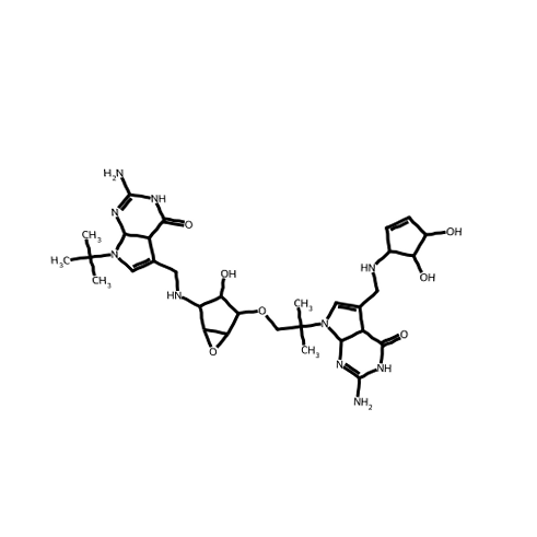 CC(C)(C)N1C=C(CNC2C(O)C(OCC(C)(C)N3C=C(CNC4C=CC(O)C4O)C4C(=O)NC(N)=NC43)C3OC23)C2C(=O)NC(N)=NC21